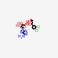 CC1(C)C=C(c2ccc(Cl)c(Cl)c2)OP(=O)(OC[C@H]2O[C@@H](n3cnc4c(N)ncnc43)[C@](C)(O)[C@@H]2O)O1